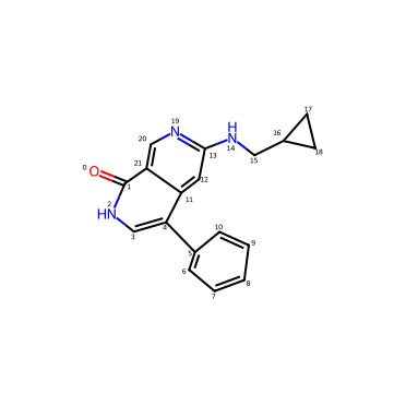 O=c1[nH]cc(-c2ccccc2)c2cc(NCC3CC3)ncc12